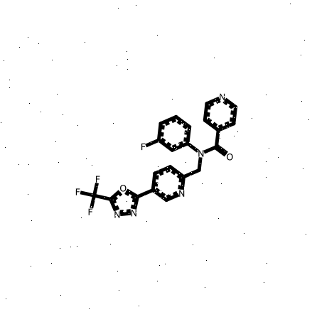 O=C(c1ccncc1)N(Cc1ccc(-c2nnc(C(F)(F)F)o2)cn1)c1cccc(F)c1